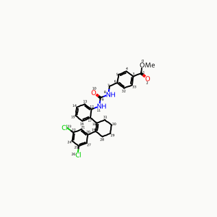 COC(=O)c1ccc(CNC(=O)Nc2ccccc2C2=C(c3cc(Cl)cc(Cl)c3)CCCC2)cc1